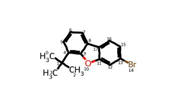 CC(C)(C)c1cccc2c1oc1cc(Br)ccc12